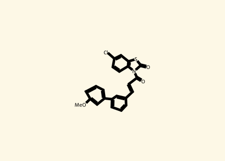 COc1cccc(-c2cccc(/C=C/C(=O)n3c(=O)sc4cc(Cl)ccc43)c2)c1